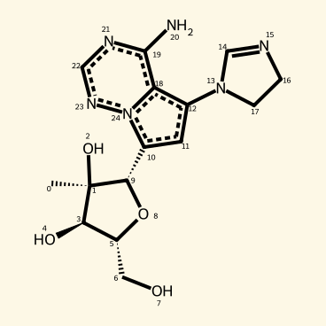 C[C@@]1(O)[C@H](O)[C@@H](CO)O[C@H]1c1cc(N2C=NCC2)c2c(N)ncnn12